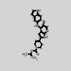 C=C(C)OC(=O)N1CC=C(c2cc3c(Nc4ccc5[nH]ccc5c4)c(Br)cnc3[nH]2)CC1